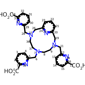 O=C(O)c1cccc(CN2CCN(Cc3cccc(C(=O)O)n3)Cc3cccc(n3)CN(Cc3cccc(C(=O)O)n3)CC2)n1